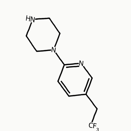 FC(F)(F)Cc1ccc(N2CCNCC2)nc1